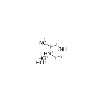 Cl.Cl.N#CC1CNCCN1